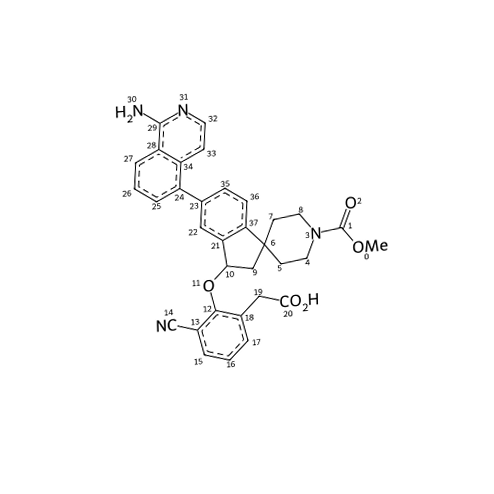 COC(=O)N1CCC2(CC1)CC(Oc1c(C#N)cccc1CC(=O)O)c1cc(-c3cccc4c(N)nccc34)ccc12